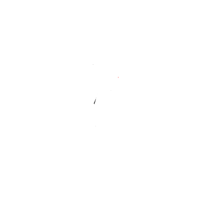 CC(C)C(=O)CC[C@@H](CC(=O)O)C(=O)O